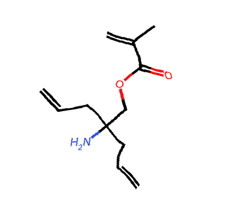 C=CCC(N)(CC=C)COC(=O)C(=C)C